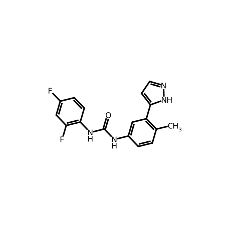 Cc1ccc(NC(=O)Nc2ccc(F)cc2F)cc1-c1ccn[nH]1